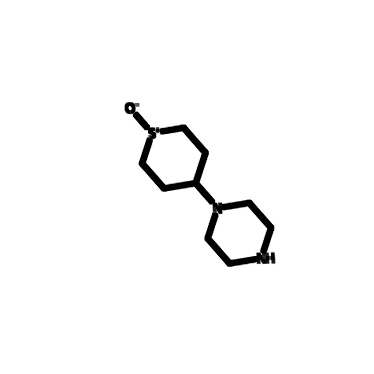 [O-][S+]1CCC(N2CCNCC2)CC1